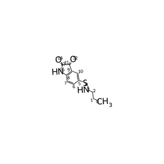 CCCNSc1ccc2c(c1)C(=O)C(=O)N2